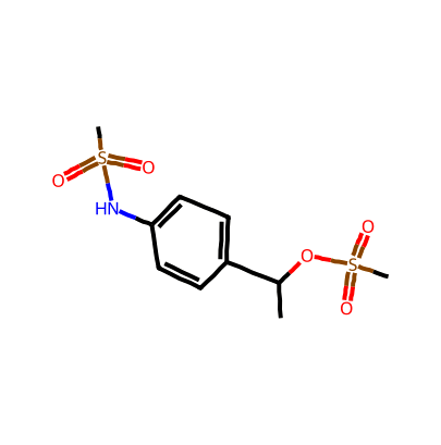 CC(OS(C)(=O)=O)c1ccc(NS(C)(=O)=O)cc1